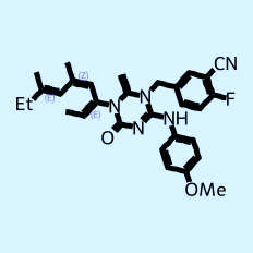 C=C1N(Cc2ccc(F)c(C#N)c2)C(Nc2ccc(OC)cc2)=NC(=O)N1C(/C=C(C)\C=C(/C)CC)=C/C